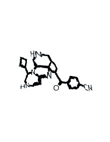 N#Cc1ccc(C(=O)C2CCC3=CNCC4N5C(=NC34C2)C=CNCC5C2CCC2)cc1